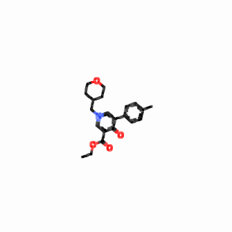 CCOC(=O)c1cn(CC2CCOCC2)cc(-c2ccc(C)cc2)c1=O